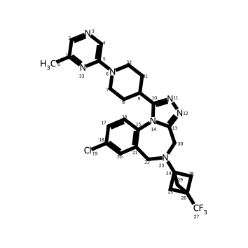 Cc1cncc(N2CCC(c3nnc4n3-c3ccc(Cl)cc3CN(C35CC(C(F)(F)F)(C3)C5)C4)CC2)n1